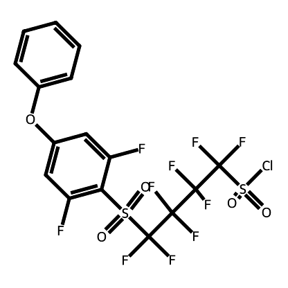 O=S(=O)(Cl)C(F)(F)C(F)(F)C(F)(F)C(F)(F)S(=O)(=O)c1c(F)cc(Oc2ccccc2)cc1F